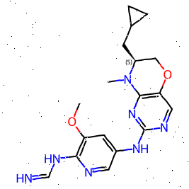 COc1cc(Nc2ncc3c(n2)N(C)[C@@H](CC2CC2)CO3)cnc1NC=N